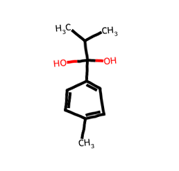 Cc1ccc(C(O)(O)C(C)C)cc1